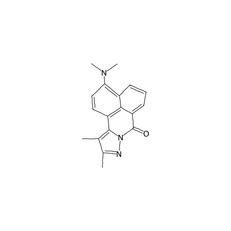 Cc1nn2c(=O)c3cccc4c(N(C)C)ccc(c43)c2c1C